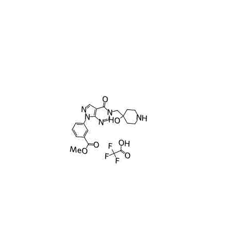 COC(=O)c1cccc(-n2ncc3c(=O)n(CC4(O)CCNCC4)cnc32)c1.O=C(O)C(F)(F)F